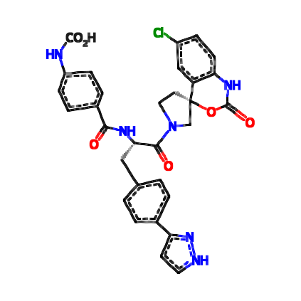 O=C(O)Nc1ccc(C(=O)N[C@@H](Cc2ccc(-c3cc[nH]n3)cc2)C(=O)N2CC[C@@]3(C2)OC(=O)Nc2ccc(Cl)cc23)cc1